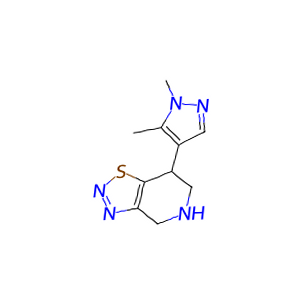 Cc1c(C2CNCc3nnsc32)cnn1C